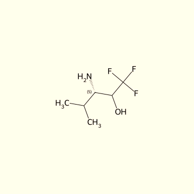 CC(C)[C@H](N)C(O)C(F)(F)F